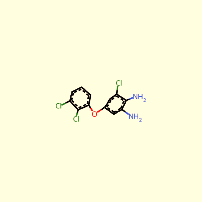 Nc1cc(Oc2cccc(Cl)c2Cl)cc(Cl)c1N